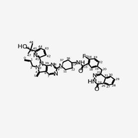 C=CCN1C(=C)c2cnc(N3CCC(NC(=O)c4cc(Cc5n[nH]c(=O)c6ccccc56)ccc4F)CC3)nc2N1c1cccc(C(C)(C)O)n1